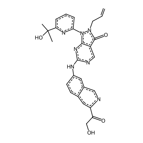 C=CCn1c(=O)c2cnc(Nc3ccc4cc(C(=O)CO)ncc4c3)nc2n1-c1cccc(C(C)(C)O)n1